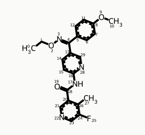 CCO/N=C(/c1ccc(OC)cc1)c1ccc(NC(=O)c2cncc(F)c2C)nc1